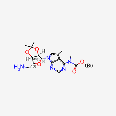 Cc1cn([C@@H]2O[C@H](CN)[C@H]3OC(C)(C)O[C@H]32)c2ncnc(N(C)C(=O)OC(C)(C)C)c12